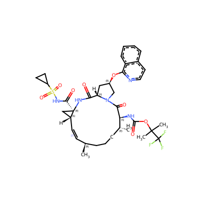 C[C@@H]1CCC[C@@H](C)/C=C\[C@@H]2C[C@@]2(C(=O)NS(=O)(=O)C2CC2)NC(=O)[C@@H]2C[C@@H](Oc3nccc4ccccc34)CN2C(=O)[C@H]1NC(=O)OC(C)(C)C(F)(F)F